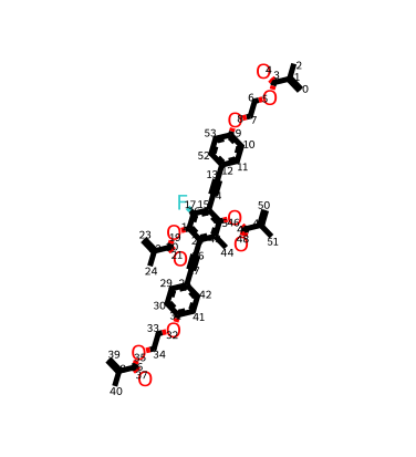 C=C(C)C(=O)OCCOc1ccc(C#Cc2c(F)c(OC(=O)C(=C)C)c(C#Cc3ccc(OCCOC(=O)C(=C)C)cc3)c(C)c2OC(=O)C(=C)C)cc1